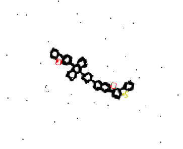 c1ccc2c(c1)oc1cc(-c3c4ccccc4c(-c4ccc(-c5ccc6cc7c(cc6c5)oc5c7ccc6sc7ccccc7c65)cc4)c4ccccc34)ccc12